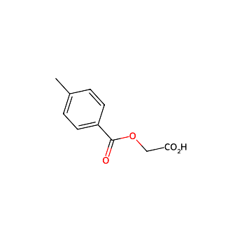 Cc1ccc(C(=O)OCC(=O)O)cc1